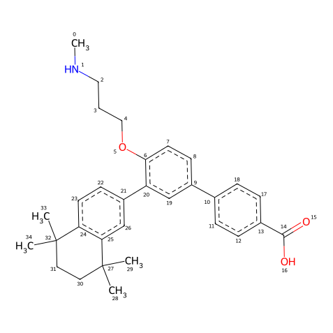 CNCCCOc1ccc(-c2ccc(C(=O)O)cc2)cc1-c1ccc2c(c1)C(C)(C)CCC2(C)C